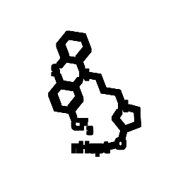 CCCCCCCOC1CCN(CCCN2c3ccccc3Sc3ccc(C(F)(F)F)cc32)C1